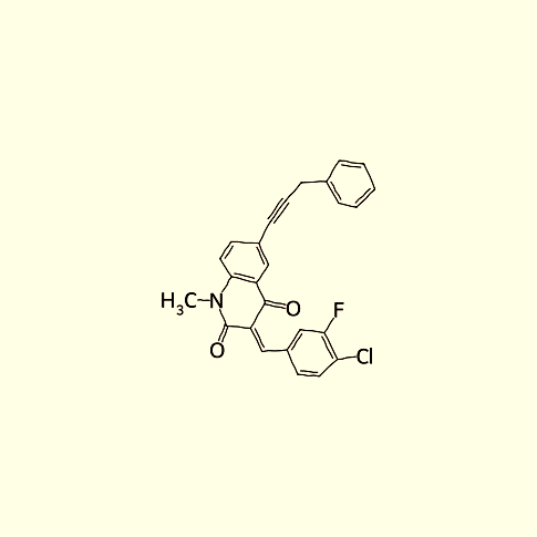 CN1C(=O)/C(=C/c2ccc(Cl)c(F)c2)C(=O)c2cc(C#CCc3ccccc3)ccc21